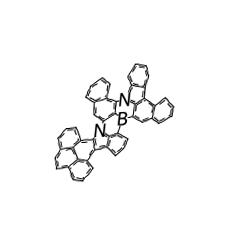 c1ccc2c3c4c(cc2c1)-n1c2c(cccc2c2c5cccc6ccc7cccc(c7c65)c21)B4c1cc2ccccc2c2c4ccccc4n-3c12